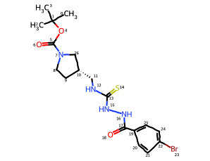 CC(C)(C)OC(=O)N1CC[C@@H](CNC(=S)NNC(=O)c2ccc(Br)cc2)C1